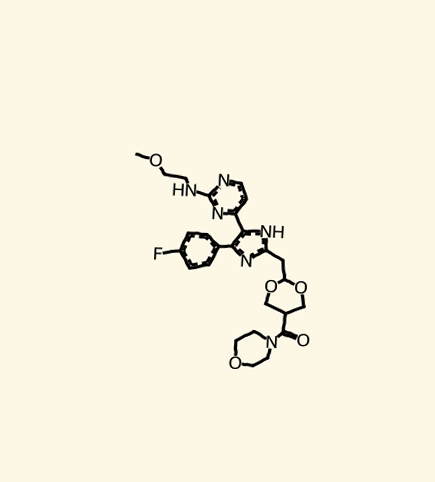 COCCNc1nccc(-c2[nH]c(CC3OCC(C(=O)N4CCOCC4)CO3)nc2-c2ccc(F)cc2)n1